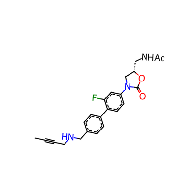 CC#CCNCc1ccc(-c2ccc(N3C[C@H](CNC(C)=O)OC3=O)cc2F)cc1